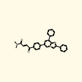 CN(C)C(=O)C=CC(=O)c1ccc(-c2cc(-c3ccccc3)c3nc(-c4ccccc4)cn3c2)cc1